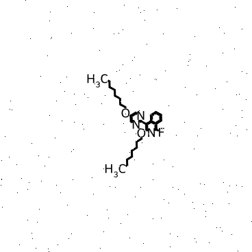 CCCCCCCCOc1cnc(-c2c(OCCCCCCCC)nc(F)c3ccccc23)nc1